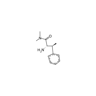 C[C@@H](c1ccccc1)[C@H](N)C(=O)N(C)C